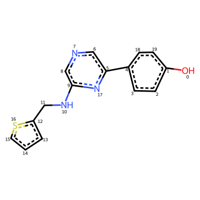 Oc1ccc(-c2cncc(NCc3cccs3)n2)cc1